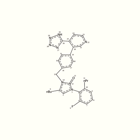 CCCCc1cn(-c2c(F)cccc2CCC)c(=O)n1Cc1ccc(-c2cnccc2-c2nnn[nH]2)cc1